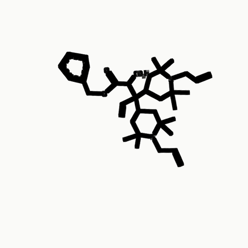 C=CCN1C(C)(C)CC(C(C=C)(C2CC(C)(C)N(CC=C)C(C)(C)C2)C(C(=O)O)C(=O)OCc2ccccc2)CC1(C)C